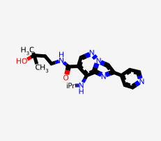 CC(C)Nc1c(C(=O)NCCC(C)(C)O)cnn2cc(-c3ccncc3)nc12